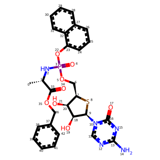 C[C@H](NP(=O)(OC[C@H]1S[C@@H](n2cnc(N)nc2=O)[C@@H](O)[C@H]1O)Oc1cccc2ccccc12)C(=O)OCc1ccccc1